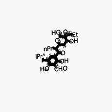 CCCC(C(=O)c1cc(CC(C)C)c(O)c(C=O)c1O)C1CC(O)C2(OC2CC)C(O)O1